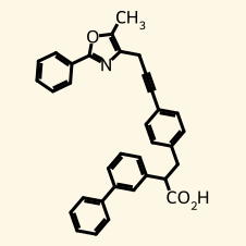 Cc1oc(-c2ccccc2)nc1CC#Cc1ccc(CC(C(=O)O)c2cccc(-c3ccccc3)c2)cc1